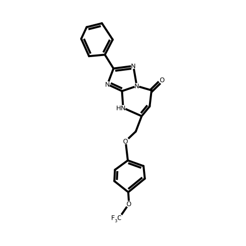 O=c1cc(COc2ccc(OC(F)(F)F)cc2)[nH]c2nc(-c3ccccc3)nn12